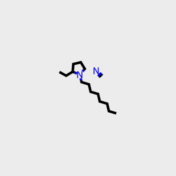 C#N.CCCCCCCCN1CCCC1CC